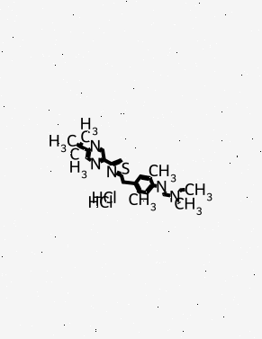 CCN(C)C=Nc1cc(C)c(Cc2nc(-c3cnc(C(C)(C)C)cn3)cs2)cc1C.Cl.Cl